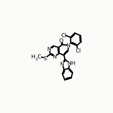 CSc1ncc2c(=O)n(-c3c(Cl)cccc3Cl)cc(-c3nc4ccccc4[nH]3)c2n1